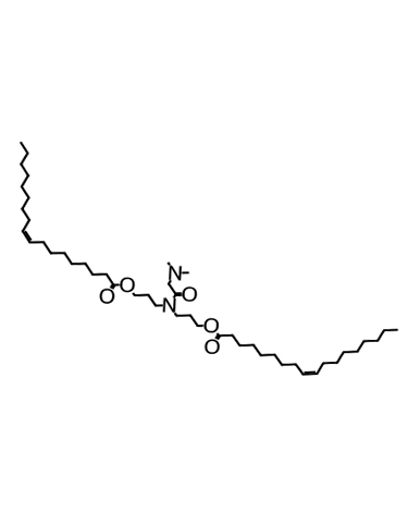 CCCCCCCC/C=C\CCCCCCCC(=O)OCCCN(CCCOC(=O)CCCCCCC/C=C\CCCCCCCC)C(=O)CN(C)C